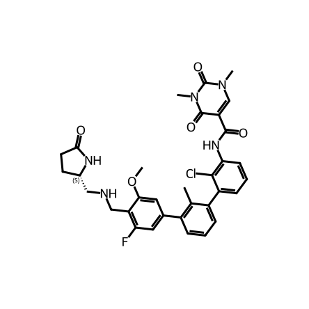 COc1cc(-c2cccc(-c3cccc(NC(=O)c4cn(C)c(=O)n(C)c4=O)c3Cl)c2C)cc(F)c1CNC[C@@H]1CCC(=O)N1